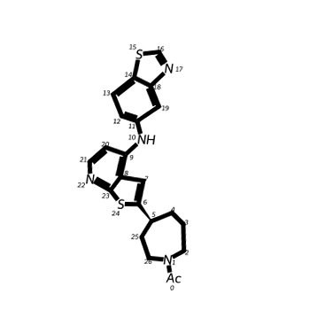 CC(=O)N1CCC[C@H](c2cc3c(Nc4ccc5scnc5c4)ccnc3s2)CC1